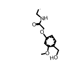 [CH2]CNC(=O)COc1ccc(CO)c(OC)c1